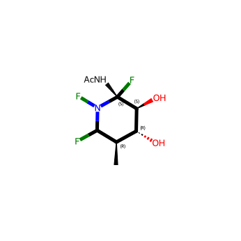 CC(=O)N[C@@]1(F)[C@@H](O)[C@H](O)[C@@H](C)C(F)N1F